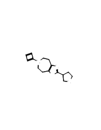 C1=CC(N2CCc3nc(C4CCNC4)sc3CC2)=C1